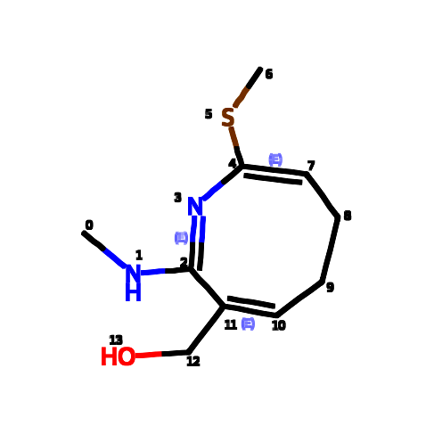 CNC1=N/C(SC)=C\CC/C=C\1CO